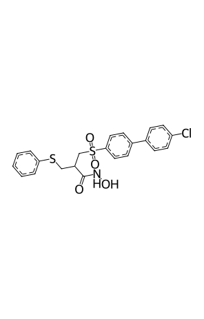 O=C(NO)C(CSc1ccccc1)CS(=O)(=O)c1ccc(-c2ccc(Cl)cc2)cc1